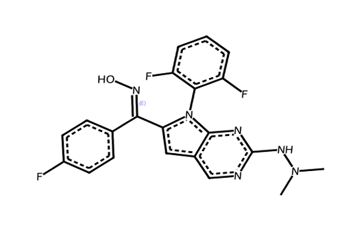 CN(C)Nc1ncc2cc(/C(=N/O)c3ccc(F)cc3)n(-c3c(F)cccc3F)c2n1